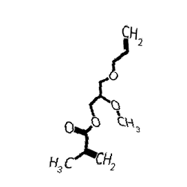 C=CCOCC(COC(=O)C(=C)C)OC